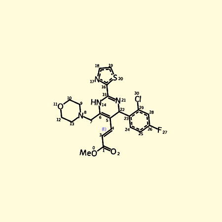 COC(=O)/C=C/C1=C(CN2CCOCC2)NC(c2nccs2)=NC1c1ccc(F)cc1Cl